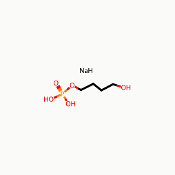 O=P(O)(O)OCCCCO.[NaH]